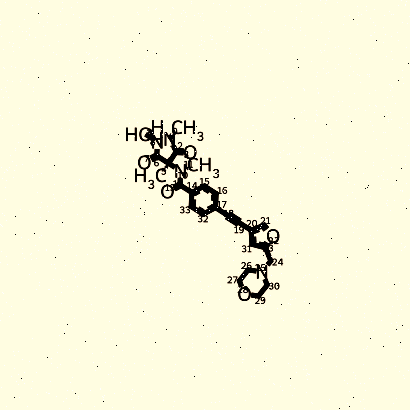 CNC(=O)[C@@](C)(C(=O)NO)N(C)C(=O)c1ccc(C#Cc2coc(CN3CCOCC3)c2)cc1